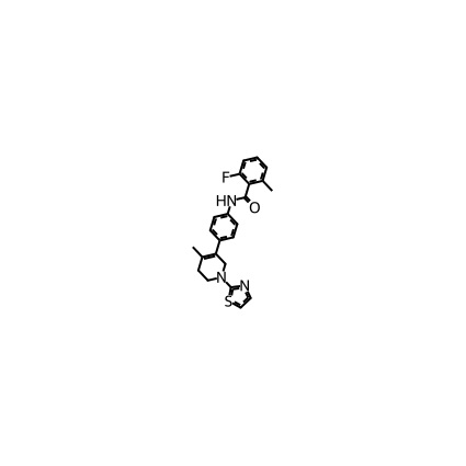 CC1=C(c2ccc(NC(=O)c3c(C)cccc3F)cc2)CN(c2nccs2)CC1